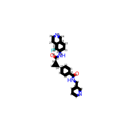 O=C(NCc1cccnc1)c1ccc([C@@H]2C[C@H]2C(=O)Nc2ccc3cnccc3c2F)cc1